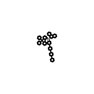 c1ccc(-c2ccc(-c3ccc(-c4ccc(N(c5cccc6c5-c5ccccc5C6(c5ccccc5)c5ccccc5)c5cc6ccccc6c6ccccc56)cc4)cc3)cc2)cc1